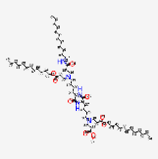 CCCCCCCCCCCCNC(=O)CCN(CCCCC1NC(=O)C(CCCCN(CCC(=O)OC)CCC(=O)OCCCCCCCCCCCC)NC1=O)CCC(=O)OCCCCCCCCCCCC